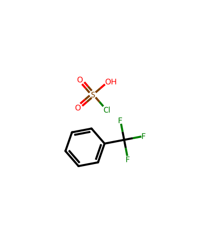 FC(F)(F)c1ccccc1.O=S(=O)(O)Cl